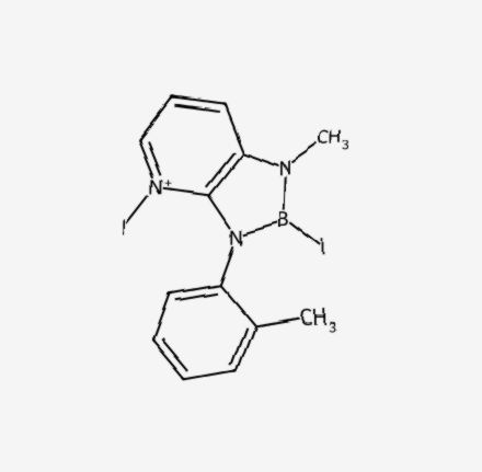 Cc1ccccc1N1B(I)N(C)c2ccc[n+](I)c21